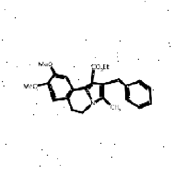 CCOC(=O)c1c(Cc2ccccc2)c(C)n2c1-c1cc(OC)c(OC)cc1CC2